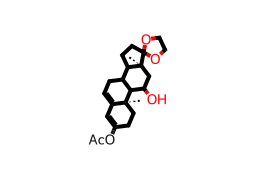 CC(=O)OC1=CC2=CCC3C(C(O)C[C@@]4(C)C3CCC43OCCO3)[C@@]2(C)CC1